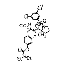 CCN(CC)C(=O)Oc1ccc(CC(NC(=O)[C@]2(C)CCCN2S(=O)(=O)c2cc(Cl)cc(Cl)c2)C(=O)O)cc1